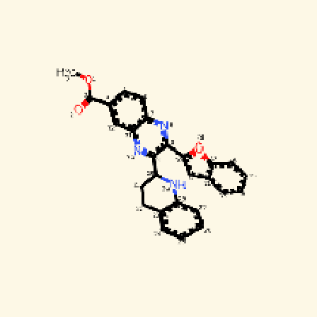 COC(=O)c1ccc2nc(-c3cc4ccccc4o3)c(C3CCc4ccccc4N3)nc2c1